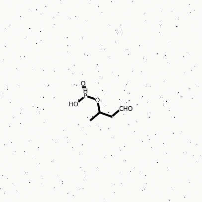 CC(CC=O)O[PH](=O)O